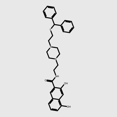 O=C(NCCN1CCN(CCSC(c2ccccc2)c2ccccc2)CC1)c1cc2cccc(O)c2cc1O